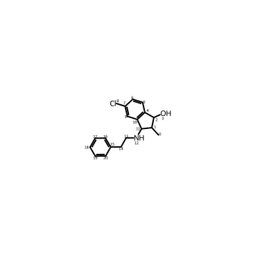 CC1C(O)c2ccc(Cl)cc2C1NCCc1ccccc1